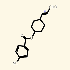 N#Cc1ccc(C(=O)OC2CCC(/C=C/C=O)CC2)cc1